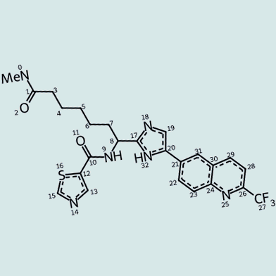 CNC(=O)CCCCCC(NC(=O)c1cncs1)c1ncc(-c2ccc3nc(C(F)(F)F)ccc3c2)[nH]1